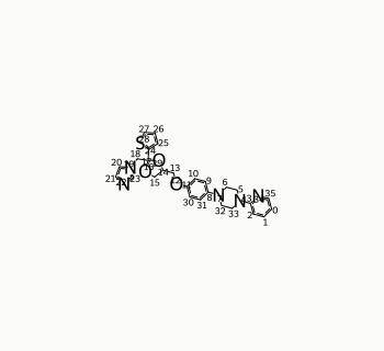 c1ccc(N2CCN(c3ccc(OCC4COC(Cn5ccnc5)(c5cccs5)O4)cc3)CC2)nc1